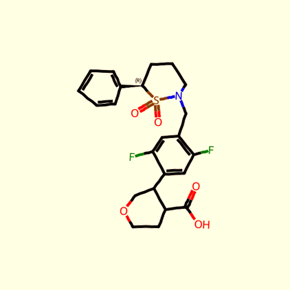 O=C(O)C1CCOCC1c1cc(F)c(CN2CCC[C@H](c3ccccc3)S2(=O)=O)cc1F